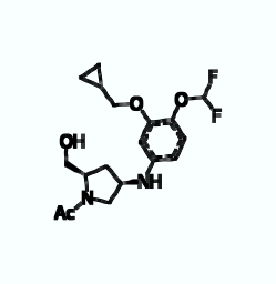 CC(=O)N1C[C@H](Nc2ccc(OC(F)F)c(OCC3CC3)c2)C[C@@H]1CO